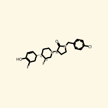 O=C1[C@H](N2CC[C@@H](C3C=CC(O)=C(F)C3)[C@H](F)C2)CCN1Cc1ccc(Cl)cc1